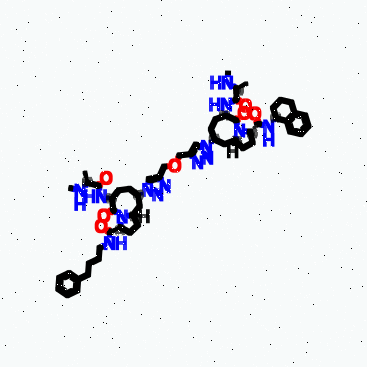 CN[C@@H](C)C(=O)N[C@H]1CC[C@H](n2cc(COCc3cn([C@H]4CC[C@H](NC(=O)[C@H](C)NC)C(=O)N5[C@H](CC[C@H]5C(=O)N[C@@H]5CCCc6ccccc65)C4)nn3)nn2)C[C@H]2CC[C@@H](C(=O)NCCCCc3ccccc3)N2C1=O